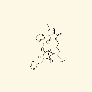 C=C1N[C@](CC(C)C)(c2ccccc2)C(=O)N1CCC[C@@H](NC(=O)[C@H](Cc1ccccc1)NC(=O)OC)C1CC1